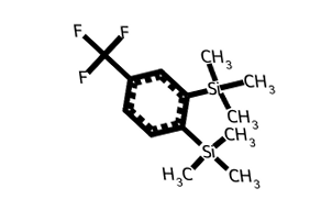 C[Si](C)(C)c1ccc(C(F)(F)F)cc1[Si](C)(C)C